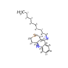 CCCCCCCCC/C=N\c1c2c(nc3ccccc13)CCSC2